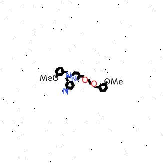 COc1cccc(COCCOCc2ccc(N(Cc3cccc(OC)c3)Cc3cccc(N(C)C)c3)nc2)c1